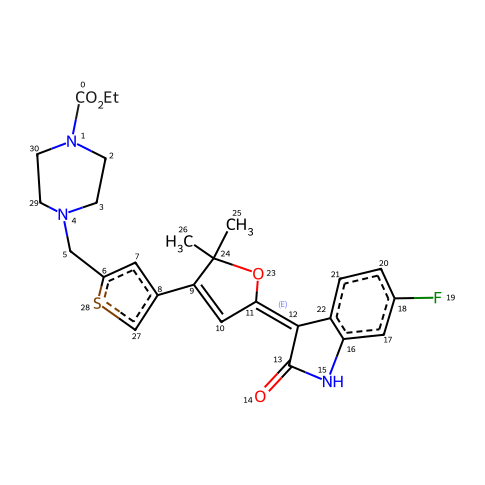 CCOC(=O)N1CCN(Cc2cc(C3=C/C(=C4\C(=O)Nc5cc(F)ccc54)OC3(C)C)cs2)CC1